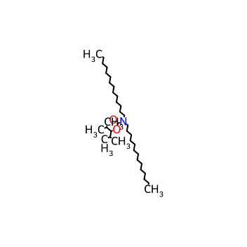 CCCCCCCCCCCCCCN(CCCCCCCCCCCCCC)C(=O)OC(C(C)C)C(C)C